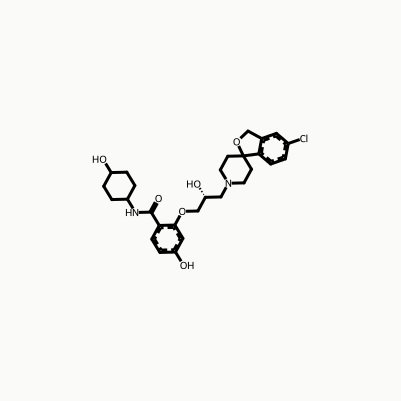 O=C(NC1CCC(O)CC1)c1ccc(O)cc1OC[C@H](O)CN1CCC2(CC1)OCc1cc(Cl)ccc12